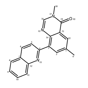 Cc1cc(-c2ccc3ccccc3n2)c2ncn(C)c(=O)c2c1